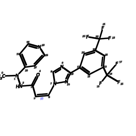 CN(NC(=O)/C=C\n1cnc(-c2cc(C(F)(F)F)cc(C(F)(F)F)c2)n1)c1ccncc1